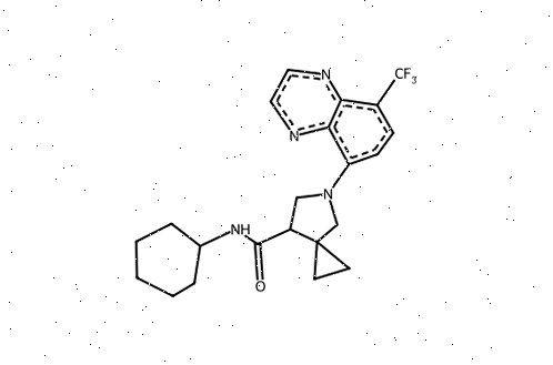 O=C(NC1CCCCC1)C1CN(c2ccc(C(F)(F)F)c3nccnc23)CC12CC2